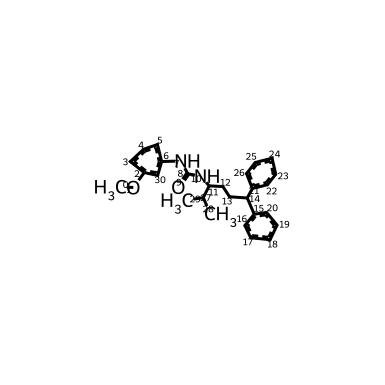 COc1cccc(NC(=O)NC(CCC(c2ccccc2)c2ccccc2)C(C)C)c1